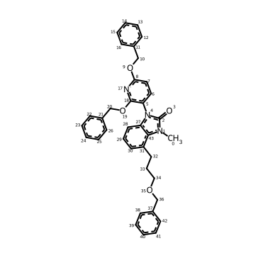 Cn1c(=O)n(-c2ccc(OCc3ccccc3)nc2OCc2ccccc2)c2cccc(CCCOCc3ccccc3)c21